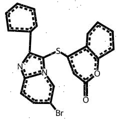 O=c1cc(Sc2c(-c3ccccc3)nc3ccc(Br)cn23)c2ccccc2o1